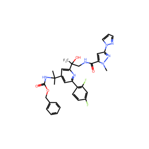 Cn1nc(-n2cccn2)cc1C(=O)NCC(O)(c1cc(C(C)(C)NC(=O)OCc2ccccc2)cc(-c2ccc(F)cc2F)n1)C(F)(F)F